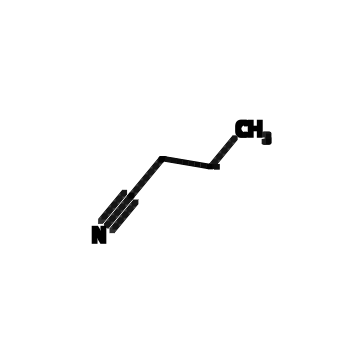 C[CH]CC#N